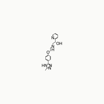 Cc1nnc(-c2ccc(OCCNC[C@@H](O)c3ccccn3)cc2)[nH]1